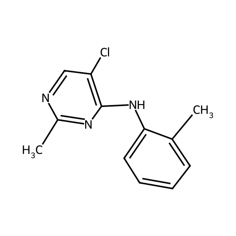 Cc1ncc(Cl)c(Nc2ccccc2C)n1